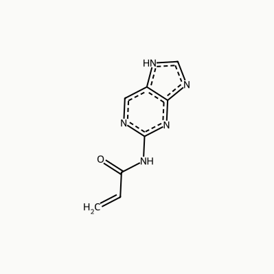 C=CC(=O)Nc1ncc2[nH]cnc2n1